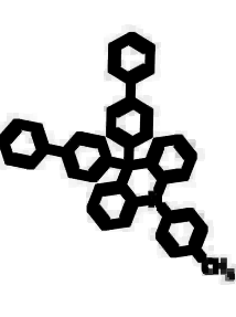 Cc1ccc(N2c3ccccc3C(c3ccc(-c4ccccc4)cc3)(c3ccc(-c4ccccc4)cc3)c3ccccc32)cc1